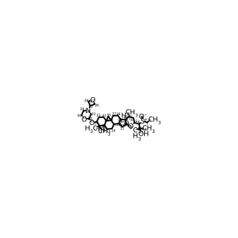 CC[S+]([O-])C(C1C[C@@H](C)[C@H]2C(CC3C4CC[C@H]5C(C)(C)C(OC6CN(C7COC7)CCO6)CCC56CC46CCC32C)O1)C(C)(C)O